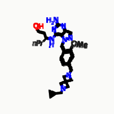 CCC[C@@H](CCO)Nc1nc(N)nc2cnn(Cc3ccc(CN4CC5(C4)CN(CC4CC4)C5)cc3OC)c12